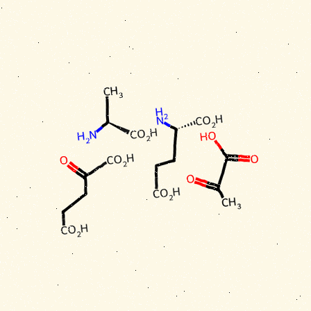 CC(=O)C(=O)O.C[C@H](N)C(=O)O.N[C@@H](CCC(=O)O)C(=O)O.O=C(O)CCC(=O)C(=O)O